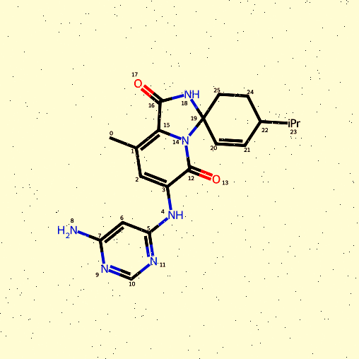 Cc1cc(Nc2cc(N)ncn2)c(=O)n2c1C(=O)NC21C=CC(C(C)C)CC1